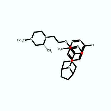 C[C@@H]1CN(C(=O)O)CCN1CCOc1cc(N2C3CCC2CN(c2cc(Cl)nnc2N)C3)ccn1